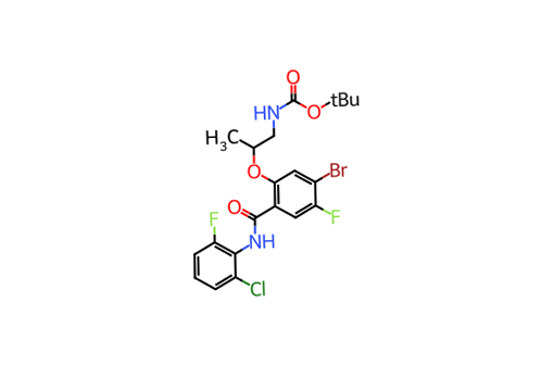 CC(CNC(=O)OC(C)(C)C)Oc1cc(Br)c(F)cc1C(=O)Nc1c(F)cccc1Cl